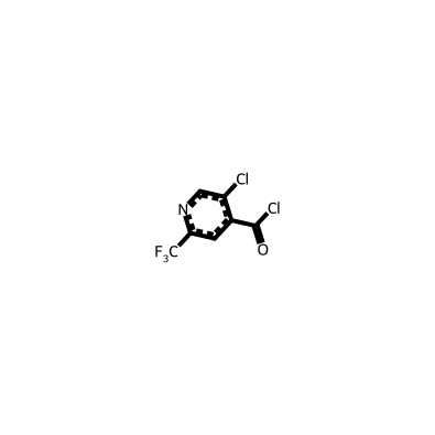 O=C(Cl)c1cc(C(F)(F)F)ncc1Cl